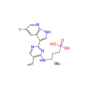 C=Cc1cnc(-c2c[nH]c3ncc(F)cc23)nc1N[C@H](CCP(=O)(O)O)C(C)(C)C